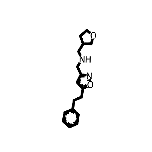 c1ccc(CCc2cc(CNCC3CCOC3)no2)cc1